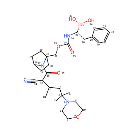 CC(CC(C)(C)N1CCOCC1)C(C#N)C(=O)N1C2CCC1(COC(=O)N[C@@H](Cc1ccccc1)B(O)O)CC2